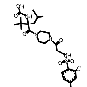 CC(C)C[C@@](NC(=O)O)(C(=O)N1CCN(C(=O)CNS(=O)(=O)c2ccc(Cl)cc2Cl)CC1)C(C)(C)C